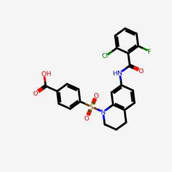 O=C(O)c1ccc(S(=O)(=O)N2CCCc3ccc(NC(=O)c4c(F)cccc4Cl)cc32)cc1